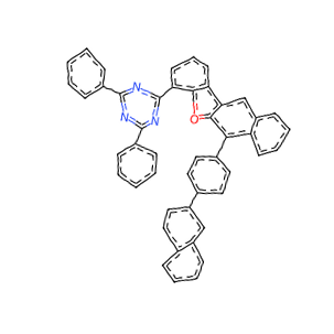 c1ccc(-c2nc(-c3ccccc3)nc(-c3cccc4c3oc3c(-c5ccc(-c6ccc7ccccc7c6)cc5)c5ccccc5cc34)n2)cc1